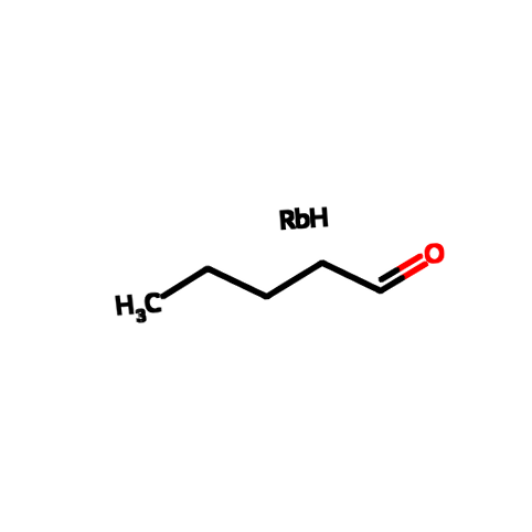 CCCCC=O.[RbH]